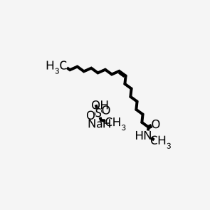 CCCCCCCC/C=C\CCCCCCCC(=O)NC.CCS(=O)(=O)O.[NaH]